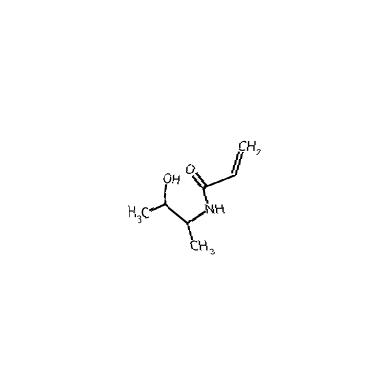 C=CC(=O)NC(C)C(C)O